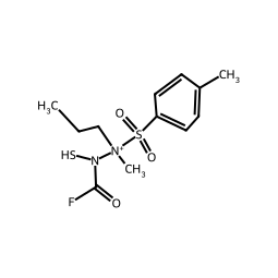 CCC[N+](C)(N(S)C(=O)F)S(=O)(=O)c1ccc(C)cc1